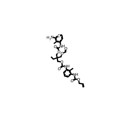 C=CCOC(=O)Nc1cccc(NC(=O)OCC(CC)(COC=O)COC(=O)Nc2cccc(N)c2C)c1C